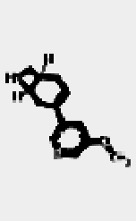 COc1cncc(C2=CC[C@@H]3CN[C@@H]3C2)c1